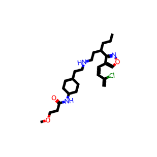 C=C(Cl)/C=C\c1conc1C(CCC)CCNCCC1CCC(NC(=O)CCOC)CC1